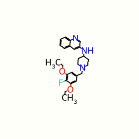 CCOc1cc(CN2CCC(Nc3cnc4ccccc4c3)CC2)cc(OCC)c1F